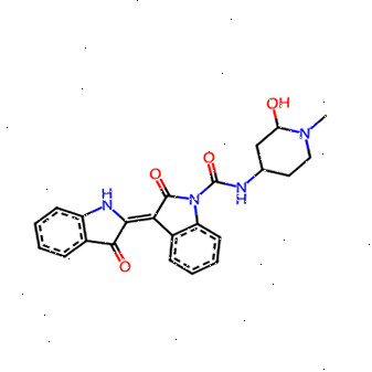 CN1CCC(NC(=O)N2C(=O)/C(=C3\Nc4ccccc4C3=O)c3ccccc32)CC1O